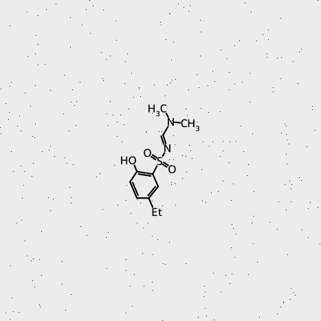 CCc1ccc(O)c(S(=O)(=O)N=CN(C)C)c1